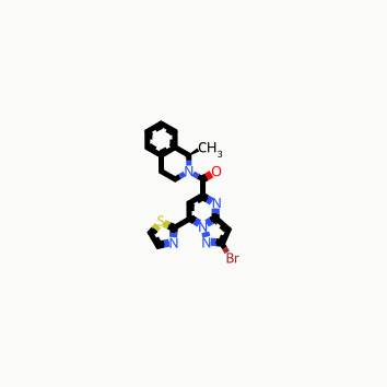 C[C@@H]1c2ccccc2CCN1C(=O)c1cc(-c2nccs2)n2nc(Br)cc2n1